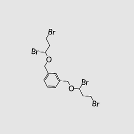 BrCCC(Br)OCc1cccc(COC(Br)CCBr)c1